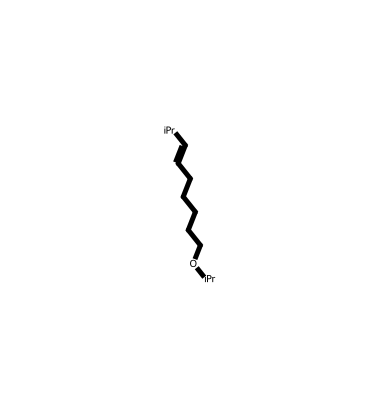 CC(C)/C=C/CCCCCOC(C)C